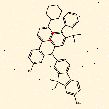 CC(C)c1ccc(-c2ccc(C3CCCCC3)cc2)c(N(c2ccc3c(c2)C(C)(C)c2ccccc2-3)c2ccc3c(c2)C(C)(C)c2cc(C(C)(C)C)ccc2-3)c1